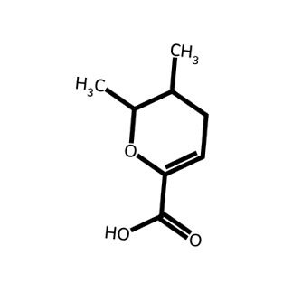 CC1CC=C(C(=O)O)OC1C